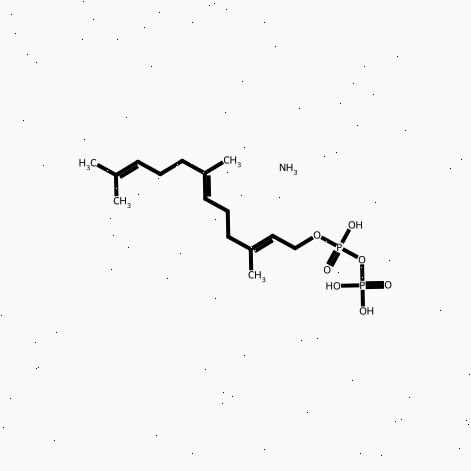 CC(C)=CCCC(C)=CCCC(C)=CCOP(=O)(O)OP(=O)(O)O.N